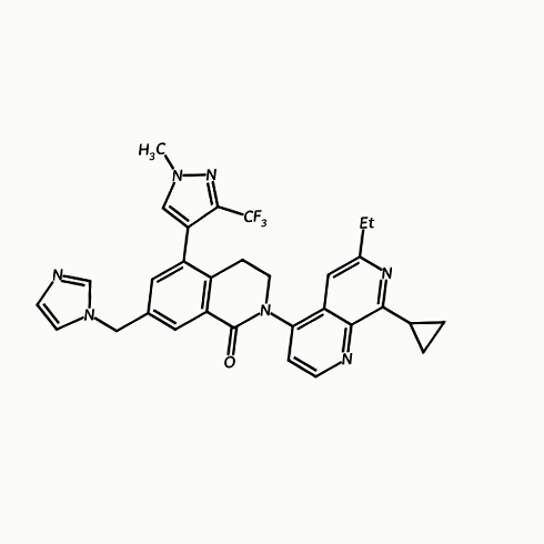 CCc1cc2c(N3CCc4c(cc(Cn5ccnc5)cc4-c4cn(C)nc4C(F)(F)F)C3=O)ccnc2c(C2CC2)n1